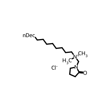 CCCCCCCCCCCCCCCCCC[N+](C)(C)CN1CCCC1=O.[Cl-]